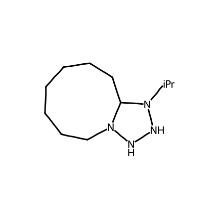 CC(C)N1NNN2CCCCCCCC21